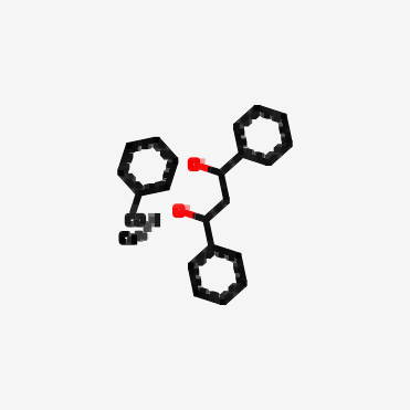 O=C(O)c1ccccc1.[Ca+2].[O-]C(CC([O-])c1ccccc1)c1ccccc1